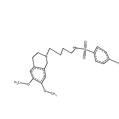 COc1cc2c(cc1OC)CN(CCCCNS(=O)(=O)c1ccc(Cl)cc1)CC2